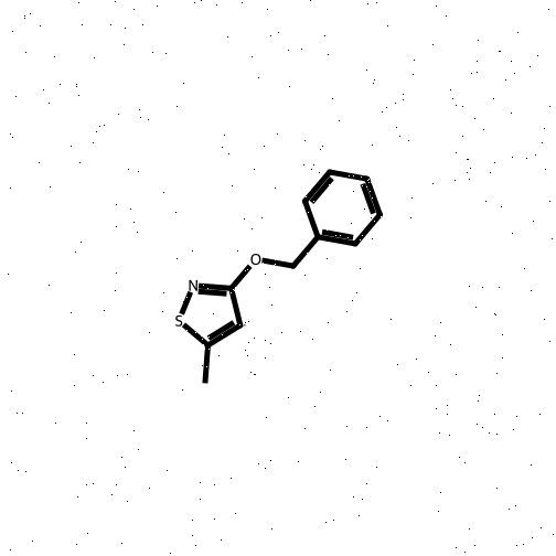 Cc1[c]c(OCc2ccccc2)ns1